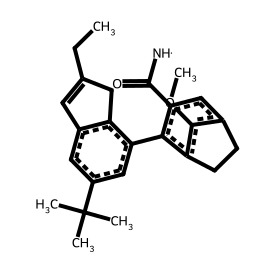 CCC1=Cc2cc(C(C)(C)C)cc(-c3c(C([NH])=O)cc4c(OC)c3CC4)c2C1